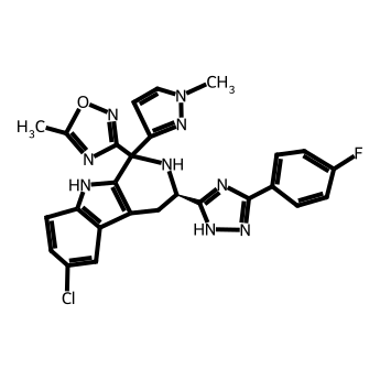 Cc1nc(C2(c3ccn(C)n3)N[C@@H](c3nc(-c4ccc(F)cc4)n[nH]3)Cc3c2[nH]c2ccc(Cl)cc32)no1